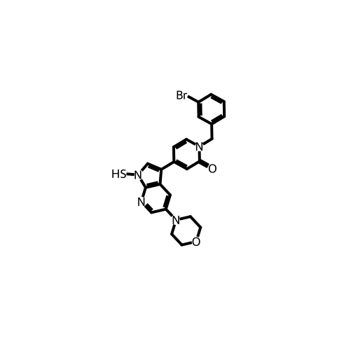 O=c1cc(-c2cn(S)c3ncc(N4CCOCC4)cc23)ccn1Cc1cccc(Br)c1